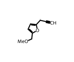 C#C[CH]c1ccc(COC)o1